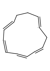 [C]1=C/CC/C=C/C=C\C=C\C=C\C/1